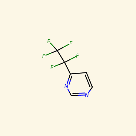 FC(F)(F)C(F)(F)c1[c]cncn1